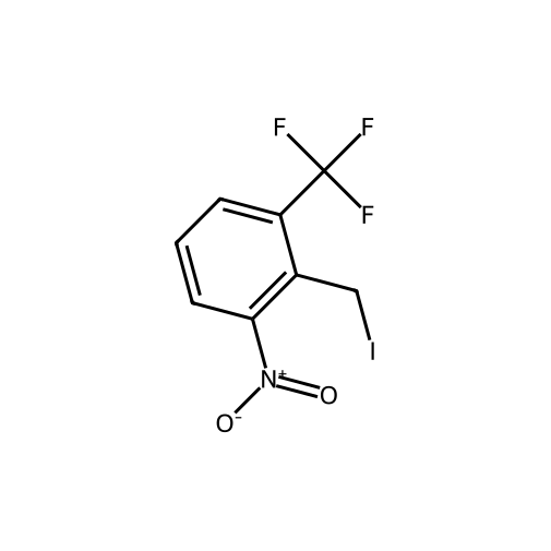 O=[N+]([O-])c1cccc(C(F)(F)F)c1CI